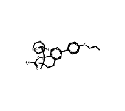 CCCOc1ccc(-c2ccc3c(c2)CCC(C)(C)[C@]3(OC(N)=O)[C@@H]2CN3CCC2CC3)cc1